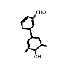 CC1=CC(C2C=C(C=O)C=CC2)CC(C)C1O